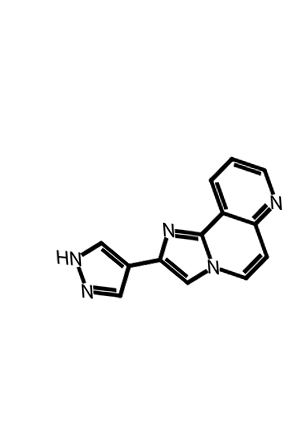 c1cnc2ccn3cc(-c4cn[nH]c4)nc3c2c1